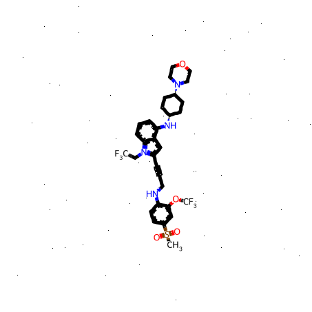 CS(=O)(=O)c1ccc(NCC#Cc2cc3c(N[C@H]4CC[C@@H](N5CCOCC5)CC4)cccc3n2CC(F)(F)F)c(OC(F)(F)F)c1